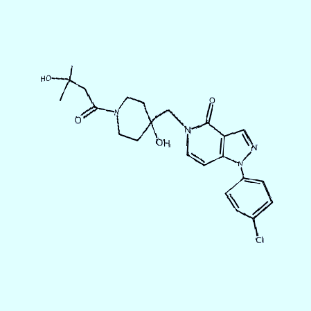 CC(C)(O)CC(=O)N1CCC(O)(Cn2ccc3c(cnn3-c3ccc(Cl)cc3)c2=O)CC1